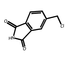 O=C1NC(=O)c2cc(CCl)ccc21